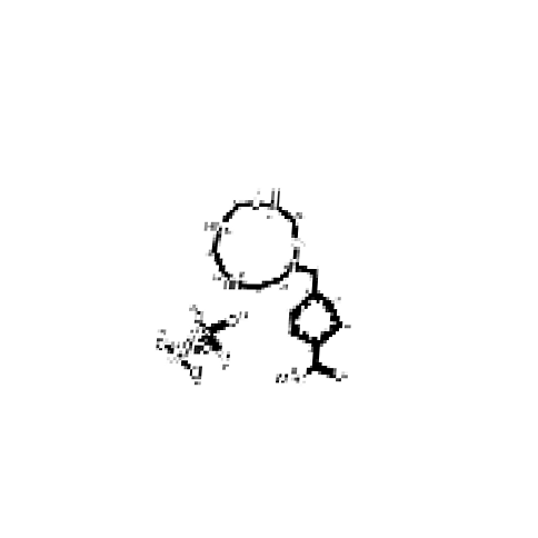 COC(=O)c1ccc(CN2CCNCCNCCNCC2)cc1.COS(=O)(=O)[O-].[Cl][Co+][Cl]